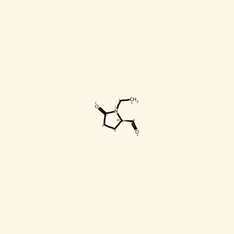 CCN1C(=O)CC[C@@H]1C=O